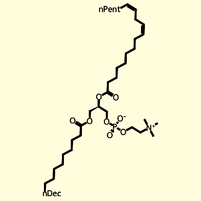 CCCCC/C=C\C/C=C\CCCCCCCC(=O)O[C@H](COC(=O)CCCCCCCCCCCCCCCCCC)COP(=O)([O-])OCC[N+](C)(C)C